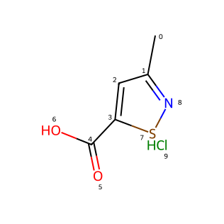 Cc1cc(C(=O)O)sn1.Cl